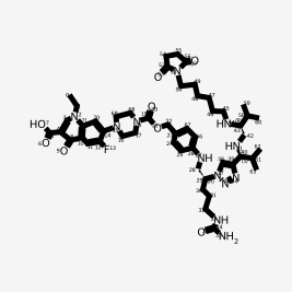 CCn1cc(C(=O)O)c(=O)c2cc(F)c(N3CCN(C(=O)OCc4ccc(NC[C@@H](CCCNC(N)=O)n5cc([C@@H](NC[C@H](NCCCCCCN6C(=O)CCC6=O)C(C)C)C(C)C)nn5)cc4)CC3)cc21